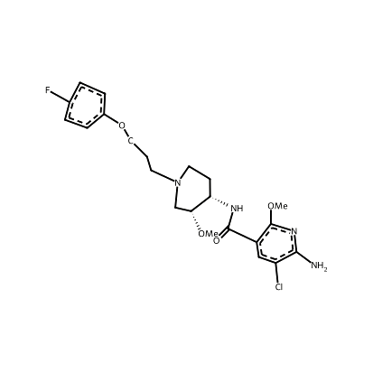 COc1nc(N)c(Cl)cc1C(=O)N[C@H]1CCN(CCCOc2ccc(F)cc2)C[C@H]1OC